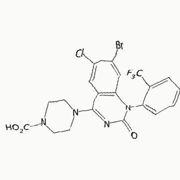 O=C(O)N1CCN(c2nc(=O)n(-c3ccccc3C(F)(F)F)c3cc(Br)c(Cl)cc23)CC1